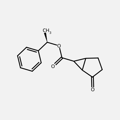 C[C@@H](OC(=O)C1C2CCC(=O)C21)c1ccccc1